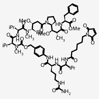 CC[C@H](C)[C@@H]([C@@H](CC(=O)N1CCC[C@H]1[C@H](OC)[C@@H](C)C(=O)N[C@@H](Cc1ccccc1)C(=O)OC)OC)N(C)C(=O)[C@@H](NC(=O)[C@H](C(C)C)N(C)C(=O)OCc1ccc(NC(=O)[C@H](CCCNC(N)=O)NC(=O)C(NC(=O)CCCCCN2C(=O)C=CC2=O)C(C)C)cc1)C(C)C